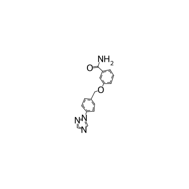 NC(=O)c1cccc(OCc2ccc(-n3cncn3)cc2)c1